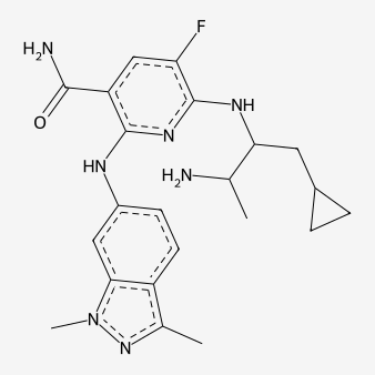 Cc1nn(C)c2cc(Nc3nc(NC(CC4CC4)C(C)N)c(F)cc3C(N)=O)ccc12